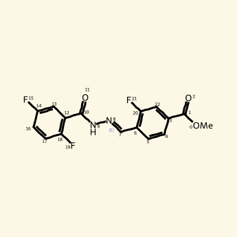 COC(=O)c1ccc(/C=N/NC(=O)c2cc(F)ccc2F)c(F)c1